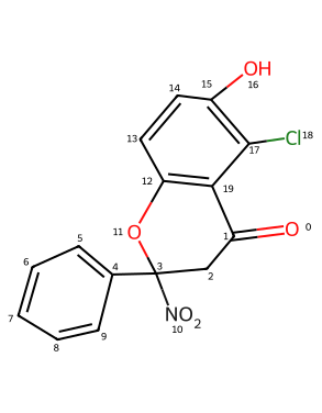 O=C1CC(c2ccccc2)([N+](=O)[O-])Oc2ccc(O)c(Cl)c21